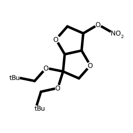 CC(C)(C)COC1(OCC(C)(C)C)COC2C(O[N+](=O)[O-])COC21